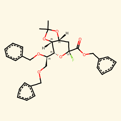 CC1(C)O[C@H]2[C@@H]([C@@H](COCc3ccccc3)OCc3ccccc3)O[C@@](F)(C(=O)OCc3ccccc3)C[C@H]2O1